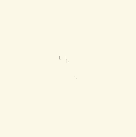 [LiH].[c]1ncccn1